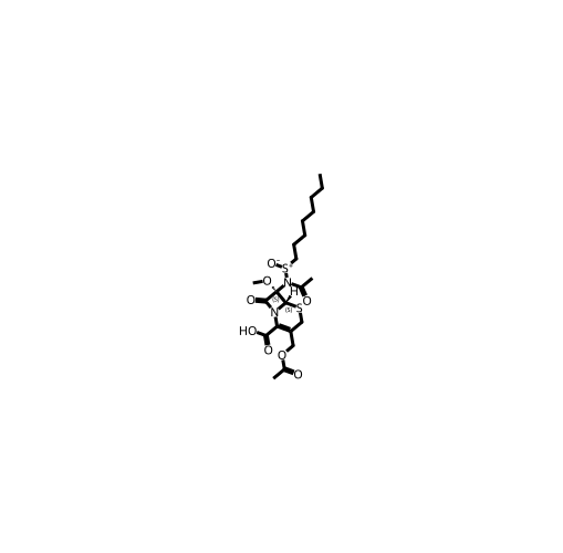 CCCCCCCC[S+]([O-])N(C(C)=O)[C@]1(OC)C(=O)N2C(C(=O)O)=C(COC(C)=O)CS[C@H]21